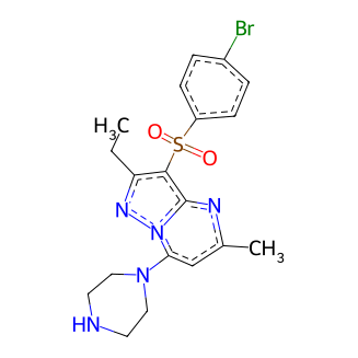 CCc1nn2c(N3CCNCC3)cc(C)nc2c1S(=O)(=O)c1ccc(Br)cc1